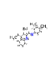 CCCCC(C=Nc1ccc(C)c(C)c1)=Nc1ccccc1.[Pd]